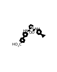 O=C(O)c1ccc(-c2ccc(NC(=O)[C@@H]3CCCN3C(=O)Nc3ccc(C4CC4)cc3)cc2)cc1